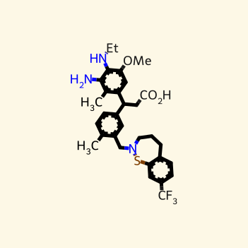 CCNc1c(OC)cc(C(CC(=O)O)c2ccc(C)c(CN3CCCc4ccc(C(F)(F)F)cc4S3)c2)c(C)c1N